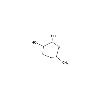 CC1CCC(O)[C@H](O)O1